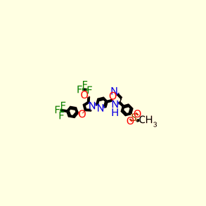 CCS(=O)(=O)c1ccc([C@H](CC#N)NC(=O)c2ccc(N3C[C@H](Oc4ccc(C(F)(F)F)cc4)CC3COC(F)(F)F)nc2)cc1